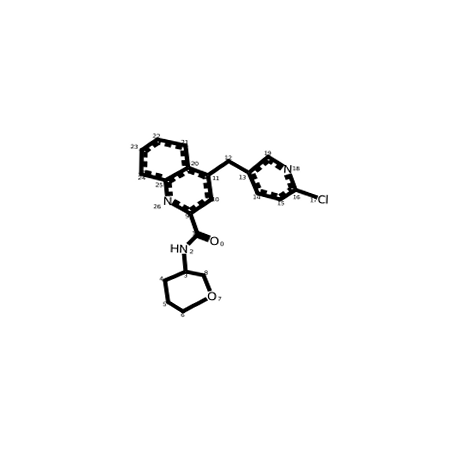 O=C(NC1CCCOC1)c1cc(Cc2ccc(Cl)nc2)c2ccccc2n1